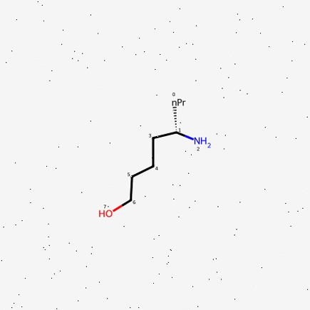 CCC[C@H](N)CCCCO